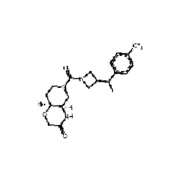 CC(c1ccc(C(F)(F)F)cc1)C1CN(C(=O)N2CC[C@@H]3OCC(=O)N[C@@H]3C2)C1